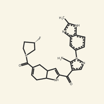 Cc1nc2cc(-n3ncc(C(=O)C4=CC5CC(C(=O)N6CC[C@H](F)C6)=CCC5N4)c3N)ccc2[nH]1